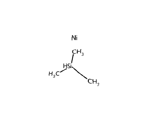 C[SiH](C)C.[Ni]